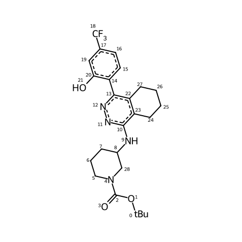 CC(C)(C)OC(=O)N1CCCC(Nc2nnc(-c3ccc(C(F)(F)F)cc3O)c3c2CCCC3)C1